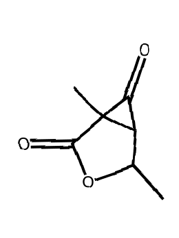 CC1OC(=O)C2(C)C(=O)C12